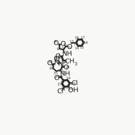 CC(C(=O)NC1CC(=O)OC1OCc1ccccc1)N1C(=O)C(NC(=O)c2cc(Cl)c(O)c(Cl)c2)CCC(=O)N1C